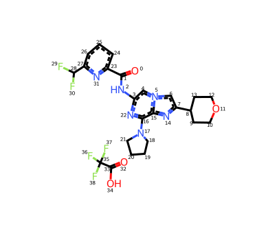 O=C(Nc1cn2cc(C3CCOCC3)nc2c(N2CCCC2)n1)c1cccc(C(F)F)n1.O=C(O)C(F)(F)F